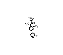 Cc1cc(-c2ccnc(Cl)n2)ccc1C(C)NC(=O)OC(C)(C)C